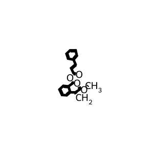 C=C(C(=O)OC)c1ccccc1COC(=O)C=Cc1ccccc1